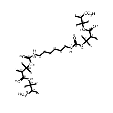 CC(C(=O)O)C(C)(C)OC(=O)C(C)C(C)(C)OC(=O)NCCCCCCNC(=O)OC(C)(C)C(C)C(=O)OC(C)(C)C(C)C(=O)O